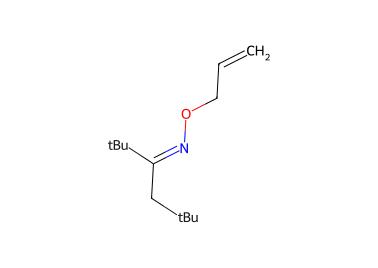 C=CCON=C(CC(C)(C)C)C(C)(C)C